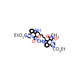 CCOC(=O)N1CCN(C2=C(c3c(CCCCCc4[nH]c5ccccc5c4C4=C(N5CCN(C(=O)OCC)CC5)C(=O)N(C)C4=O)[nH]c4ccccc34)C(=O)N(C)C2=O)CC1